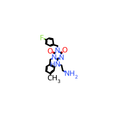 Cc1ccc(Cn2c(NCCN)nc(=O)n(Cc3ccc(F)cc3)c2=O)cc1